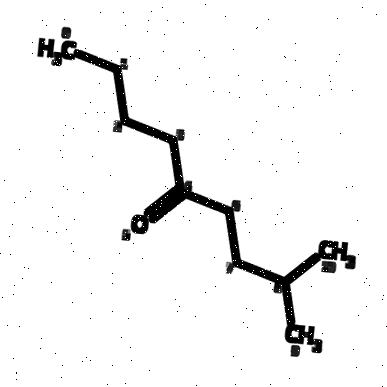 CCCCC(=O)CCC(C)C